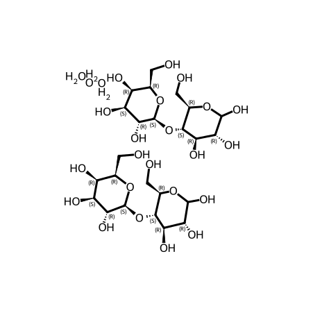 O.O.O.OC[C@H]1O[C@@H](O[C@H]2[C@H](O)[C@@H](O)C(O)O[C@@H]2CO)[C@H](O)[C@@H](O)[C@H]1O.OC[C@H]1O[C@@H](O[C@H]2[C@H](O)[C@@H](O)C(O)O[C@@H]2CO)[C@H](O)[C@@H](O)[C@H]1O